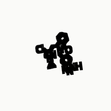 O=C1c2ccccc2C(Cc2nn(C3CC3)cc2Cl)N1Cc1ccc2[nH]nnc2c1